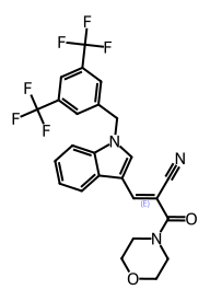 N#C/C(=C\c1cn(Cc2cc(C(F)(F)F)cc(C(F)(F)F)c2)c2ccccc12)C(=O)N1CCOCC1